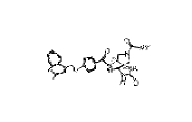 Cc1cc(COc2ccc(C(=O)N[C@@H]3CN(C(=O)C(C)C)C[C@]34NC(=O)NC4=O)cc2)c2ccccc2n1